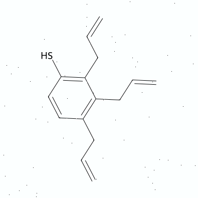 C=CCc1ccc(S)c(CC=C)c1CC=C